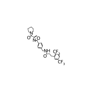 O=C(CCc1cc(C(F)(F)F)ccc1C(F)(F)F)NCc1ccc(-c2nc(C(=O)N3CCCCC3)co2)cc1